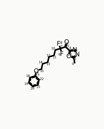 Cc1nnc(C(=O)C(F)(F)CCCCCCOc2ccccc2)o1